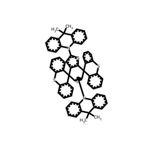 CC1(C)c2ccccc2N(c2cc3c(s2)C2(c4ccccc4Sc4ccccc42)c2cc(N4c5ccccc5C(C)(C)c5ccccc54)sc2C32c3ccccc3Sc3ccccc32)c2ccccc21